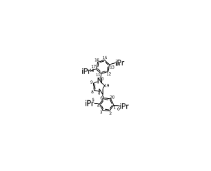 CC(C)c1ccc(C(C)C)c(N2C=CN(c3cc(C(C)C)ccc3C(C)C)C2)c1